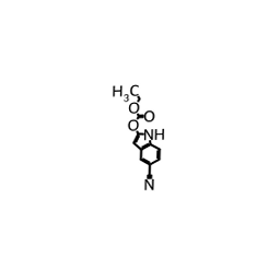 CCOC(=O)Oc1cc2cc(C#N)ccc2[nH]1